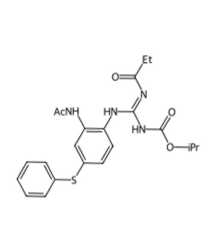 CCC(=O)N=C(NC(=O)OC(C)C)Nc1ccc(Sc2ccccc2)cc1NC(C)=O